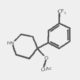 CC(=O)OOC1(c2cccc(C(F)(F)F)c2)CCNCC1